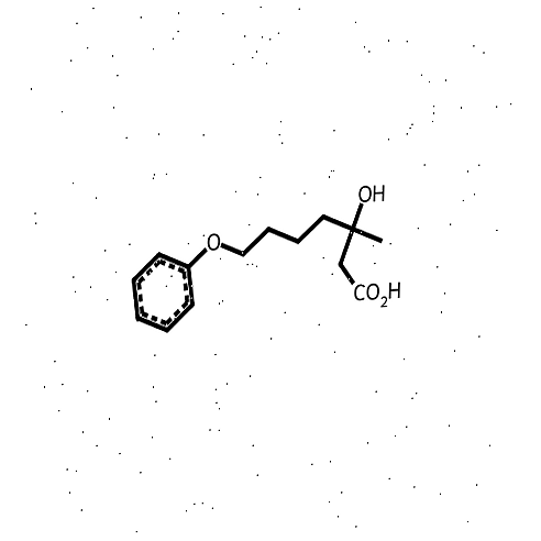 CC(O)(CCCCOc1ccccc1)CC(=O)O